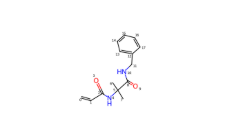 C=CC(=O)NC(C)(C)C(=O)NCc1ccccc1